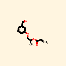 C=CC(=O)OC(C)COc1cccc(C=O)c1